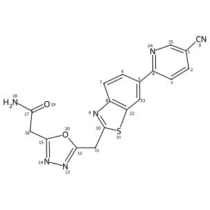 N#Cc1ccc(-c2ccc3nc(Cc4nnc(CC(N)=O)o4)sc3c2)nc1